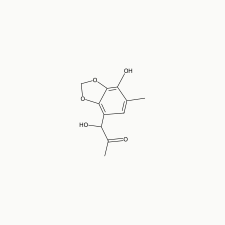 CC(=O)C(O)c1cc(C)c(O)c2c1OCO2